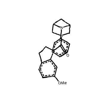 COc1ccc2c(c1)C(C(=O)N1CC3CC(C1)N3c1ccccc1)CC2